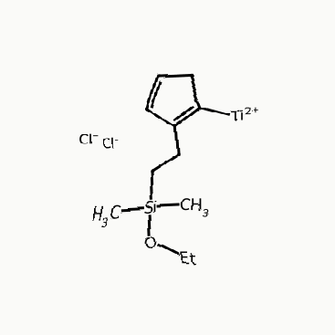 CCO[Si](C)(C)CCC1=[C]([Ti+2])CC=C1.[Cl-].[Cl-]